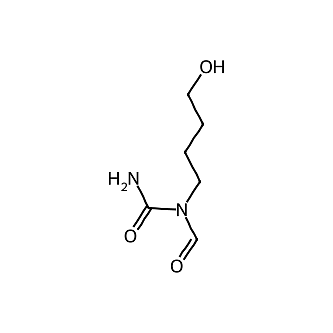 NC(=O)N(C=O)CCCCO